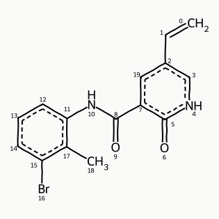 C=Cc1c[nH]c(=O)c(C(=O)Nc2cccc(Br)c2C)c1